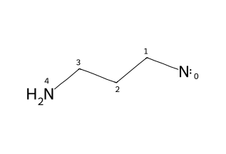 [N]CCCN